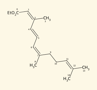 CCOC(=O)C=C(C)C=CC=C(C)CCC=C(C)C